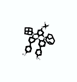 Cc1ccc(-c2ccc3c(c2)B2c4cc(-c5ccc(C)cc5)ccc4N(C45CC6CC7CC(C4)C765)c4cc(SC(F)(F)F)cc(c42)N3C23CCC(CC4CC(C4)C2)C3)cc1